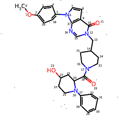 COc1ccc(-n2ccc3c(=O)n(CC4CCN(C(=O)C5CC(O)CCN5c5ccccc5)CC4)cnc32)cc1